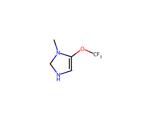 CN1CN[C]=C1OC(F)(F)F